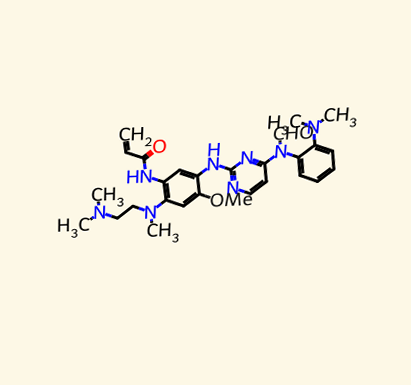 C=CC(=O)Nc1cc(Nc2nccc(N(C=O)c3ccccc3N(C)C)n2)c(OC)cc1N(C)CCN(C)C